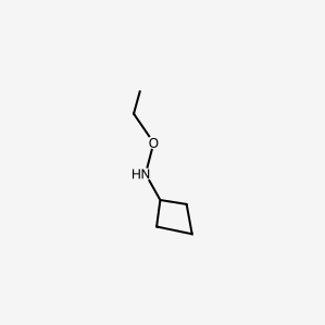 CCONC1CCC1